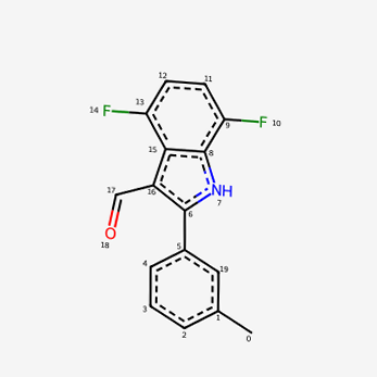 Cc1cccc(-c2[nH]c3c(F)ccc(F)c3c2C=O)c1